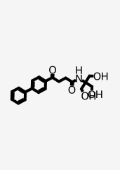 O=C(CCC(=O)c1ccc(-c2ccccc2)cc1)NC(CO)(CO)CO